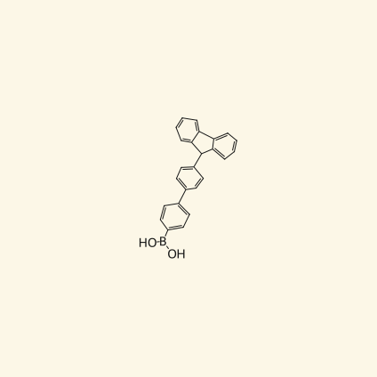 OB(O)c1ccc(-c2ccc(C3c4ccccc4-c4ccccc43)cc2)cc1